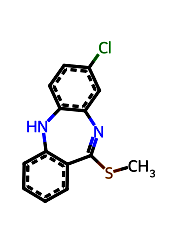 CSC1=Nc2cc(Cl)ccc2Nc2ccccc21